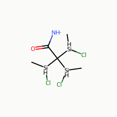 C[SiH](Cl)C(C([NH])=O)([SiH](C)Cl)[SiH](C)Cl